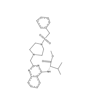 COC(=O)[C@@H](Nc1nc(CN2CCN(S(=O)(=O)Cc3ccccc3)CC2)nc2ccccc12)C(C)C